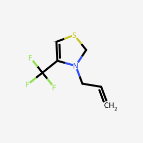 C=CCN1CS[C]=C1C(F)(F)F